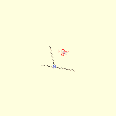 CCCCCCCCCCCCN(CCCCCCC)CCCCCCCCCCCC.O=[N+]([O-])O